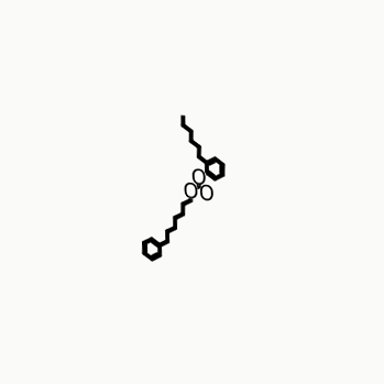 CCCCCCc1ccccc1OC(=O)OCCCCCCCc1ccccc1